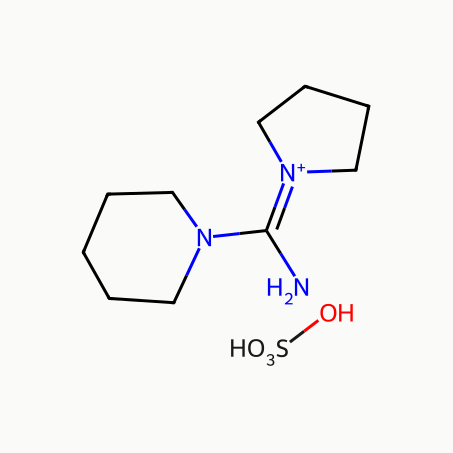 NC(N1CCCCC1)=[N+]1CCCC1.O=S(=O)(O)O